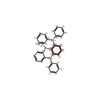 CP(c1ccccc1N(c1ccccc1)c1ccccc1)c1ccccc1N(c1ccccc1)c1ccccc1